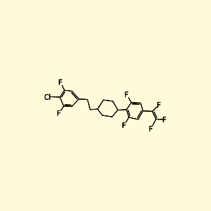 FC(F)=C(F)c1cc(F)c(C2CCC(CCc3cc(F)c(Cl)c(F)c3)CC2)c(F)c1